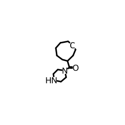 O=C(C1CCCCCCCC1)N1CCNCC1